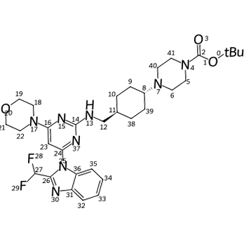 CC(C)(C)OC(=O)N1CCN([C@H]2CC[C@H](CNc3nc(N4CCOCC4)cc(-n4c(C(F)F)nc5ccccc54)n3)CC2)CC1